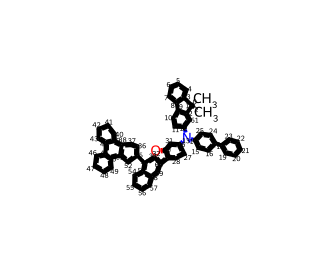 CC1(C)c2ccccc2-c2ccc(N(c3ccc(-c4ccccc4)cc3)c3ccc4c(c3)oc3c(-c5ccc6c7ccccc7c7ccccc7c6c5)c5ccccc5cc34)cc21